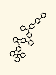 c1ccc(-c2ccc(-c3ccc(N(c4ccccc4)c4ccc(-c5ccccc5-c5ccc6c7ccccc7n(-c7ccc8c(c7)-c7ccccc7C8(c7ccccc7)c7ccccc7)c6c5)cc4)cc3)cc2)cc1